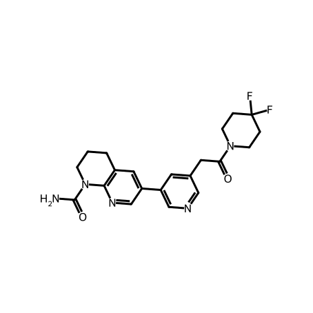 NC(=O)N1CCCc2cc(-c3cncc(CC(=O)N4CCC(F)(F)CC4)c3)cnc21